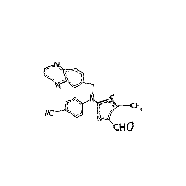 Cc1sc(N(Cc2ccc3nccnc3c2)c2ccc(C#N)cc2)nc1C=O